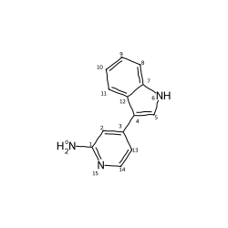 Nc1cc(-c2c[nH]c3ccccc23)ccn1